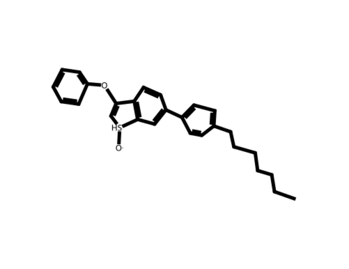 CCCCCCCc1ccc(-c2ccc3c(c2)[SH]([O])C=C3Oc2ccccc2)cc1